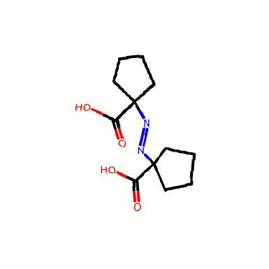 O=C(O)C1(N=NC2(C(=O)O)CCCC2)CCCC1